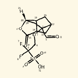 O=CC1(OCC(F)(F)S(=O)(=O)O)C2CC3C(=O)O[C@@H]1C3C2